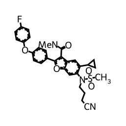 CNC(=O)c1c(-c2ccc(Oc3ccc(F)cc3)cc2)oc2cc(N(CCCC#N)S(C)(=O)=O)c(C3CC3)cc12